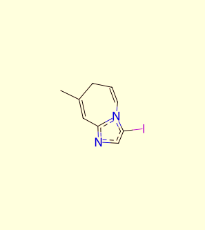 CC1=Cc2ncc(I)n2C=CC1